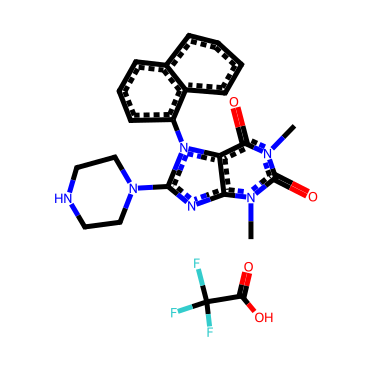 Cn1c(=O)c2c(nc(N3CCNCC3)n2-c2cccc3ccccc23)n(C)c1=O.O=C(O)C(F)(F)F